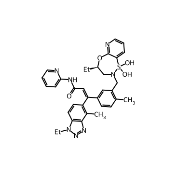 CC[C@@H]1CN(Cc2cc(/C(=C/C(=O)Nc3ccccn3)c3ccc4c(nnn4CC)c3C)ccc2C)S(O)(O)c2cccnc2O1